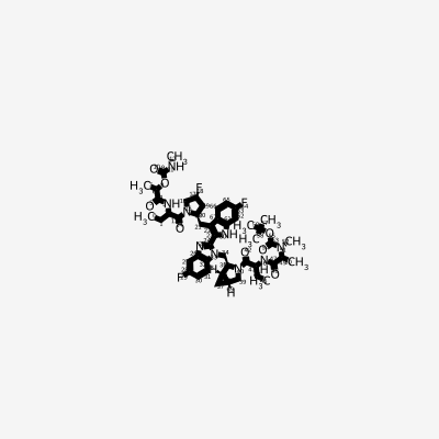 CCC(NC(=O)C(C)OC(=O)NC)C(=O)N1C[C@@H](F)C[C@H]1Cc1c(-c2nc3cc(F)ccc3n2C[C@@H]2[C@H]3C[C@H]3CN2C(=O)C(CC)NC(=O)C(C)N(C)C(=O)OC(C)(C)C)[nH]c2cc(F)ccc12